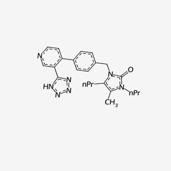 CCCc1c(C)n(CCC)c(=O)n1Cc1ccc(-c2ccncc2-c2nnn[nH]2)cc1